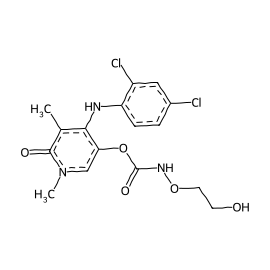 Cc1c(Nc2ccc(Cl)cc2Cl)c(OC(=O)NOCCO)cn(C)c1=O